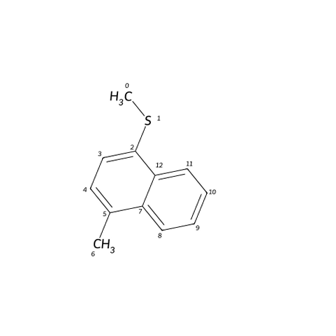 CSc1ccc(C)c2ccccc12